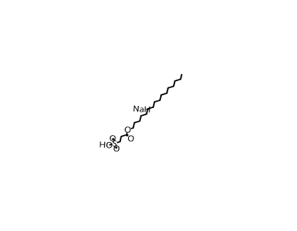 CCCCCCCCCCCCCCCCOC(=O)CCS(=O)(=O)O.[NaH]